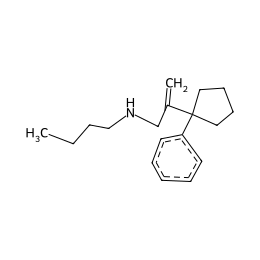 C=C(CNCCCC)C1(c2ccccc2)CCCC1